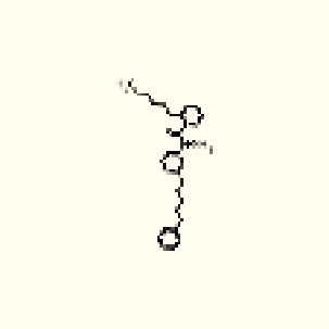 CCCCCCc1ccccc1C(=S)N(N)c1cccc(CCCCCc2ccccc2)c1